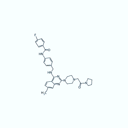 Cc1ccc2c(NCc3ccc(NC(=O)c4ccc(F)cc4)cc3)nc(N3CCN(CC(=O)N4CCCC4)CC3)nc2c1